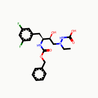 CCN(C[C@H](O)[C@H](Cc1cc(F)cc(F)c1)NC(=O)OCc1ccccc1)NC(=O)O